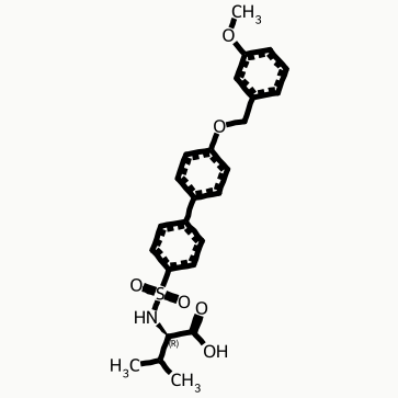 COc1cccc(COc2ccc(-c3ccc(S(=O)(=O)N[C@@H](C(=O)O)C(C)C)cc3)cc2)c1